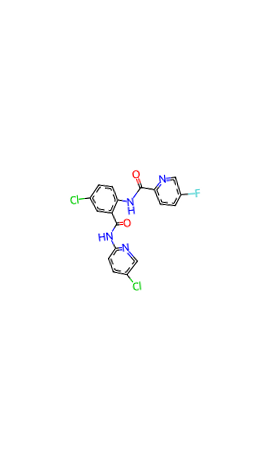 O=C(Nc1ccc(Cl)cc1C(=O)Nc1ccc(Cl)cn1)c1ccc(F)cn1